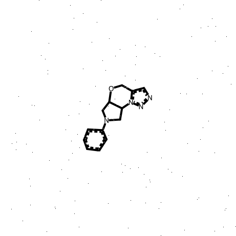 c1ccc(N2CC3OCc4cnnn4C3C2)cc1